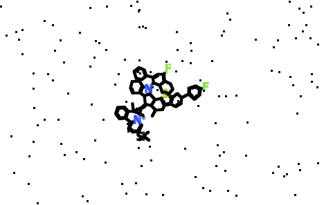 CC1Cc2c(sc3c2C=CC(c2ccc(F)cc2)C3)C2C1/C(=C1/C3(C)c4ccccc4-c4ccc([Si](C)(C)C)c[n+]4C13C)C1C3=C(CCC=C3)N(C3C(C4=CC=CCC4)=CC(F)=C4CCC=CC43)C12